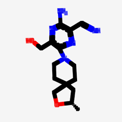 C[C@H]1CC2(CCN(c3nc(C=N)c(N)nc3CO)CC2)CO1